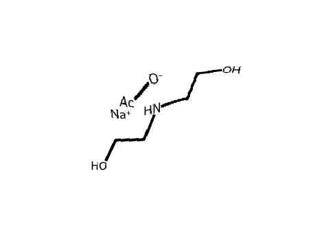 CC(=O)[O-].OCCNCCO.[Na+]